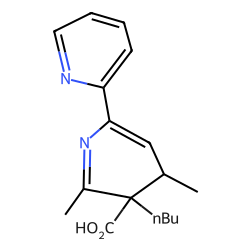 CCCCC1(C(=O)O)C(C)=NC(c2ccccn2)=CC1C